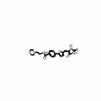 O=C1NC(=S)NC1=Cc1ccc(-c2ccc(C(=O)NCCN3CCOCC3)cc2)s1